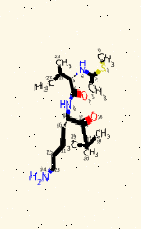 CSC(C)N[C@H](C(=O)N[C@@H](CCCCN)C(=O)C(C)(C)C)C(C)C